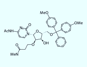 CNC(=O)CCO[C@@H]1[C@H](O)[C@@H](COC(c2ccccc2)(c2ccc(OC)cc2)c2ccc(OC)cc2)O[C@H]1n1ccc(NC(C)=O)nc1=O